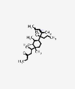 C=C/C=C(/C)C(C)(CCC)C1CCC(C)(C(Cl)CC(=O)CC)C(C)C1C